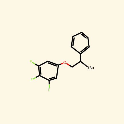 CC(C)(C)C(COc1cc(F)c(F)c(F)c1)c1ccccc1